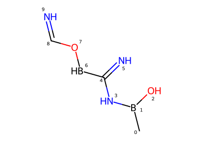 CB(O)NC(=N)BOC=N